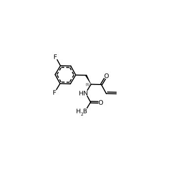 BC(=O)N[C@@H](Cc1cc(F)cc(F)c1)C(=O)C=C